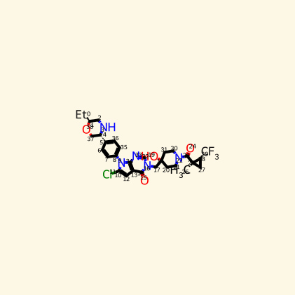 CC[C@H]1CN[C@H](c2ccc(-n3c(Cl)cc4c(=O)n(CC5(O)CCN(C(=O)[C@@]6(C)C[C@@H]6C(F)(F)F)CC5)cnc43)cc2)CO1